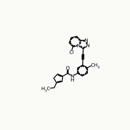 CCC1=CC(C(=O)Nc2ccc(C)c(C#Cc3nnc4cccc(Cl)n34)c2)=CC1